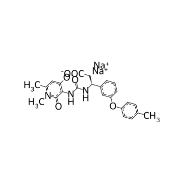 Cc1ccc(Oc2cccc([C@H](CC(=O)[O-])NC(=O)Nc3c([O-])cc(C)n(C)c3=O)c2)cc1.[Na+].[Na+]